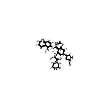 C[C@@H](Oc1cc(-c2cnn(C)c2)cc2ncnc(Nc3ccc4ncccc4c3F)c12)C(=O)N1CCOCC1